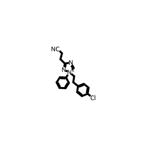 N#CCCC1=N[N+](CCc2ccc(Cl)cc2)(c2ccccc2)C=N1